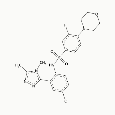 Cc1nnc(-c2cc(Cl)ccc2NS(=O)(=O)c2ccc(N3CCOCC3)c(F)c2)n1C